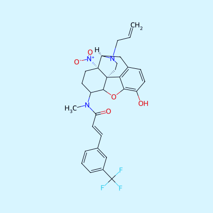 C=CCN1CC[C@]23c4c5ccc(O)c4OC2C(N(C)C(=O)/C=C/c2cccc(C(F)(F)F)c2)CC[C@@]3([N+](=O)[O-])[C@H]1C5